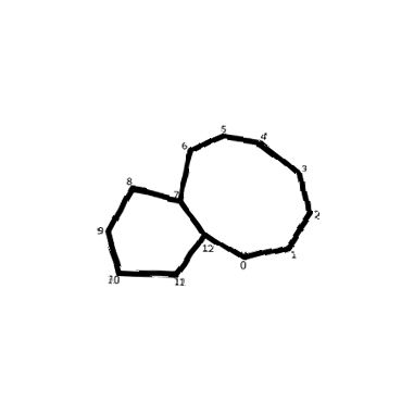 [C]1CCCCCCC2CCCCC12